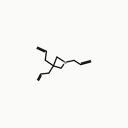 C=CCN1CC(CC=C)(CC=C)C1